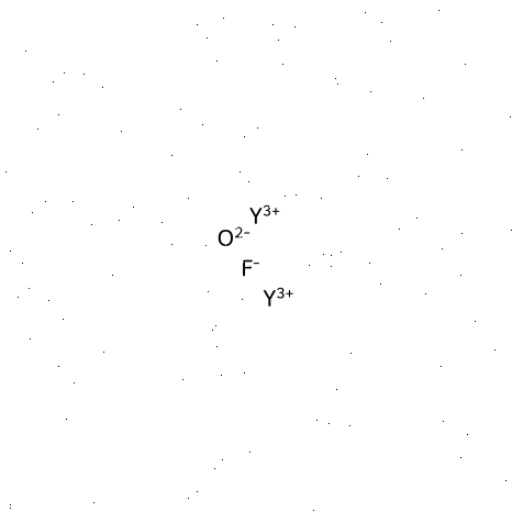 [F-].[O-2].[Y+3].[Y+3]